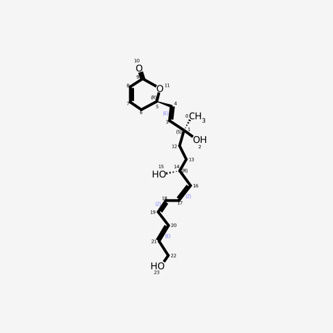 C[C@@](O)(/C=C/[C@H]1CC=CC(=O)O1)CC[C@@H](O)\C=C/C=C\C=C\CO